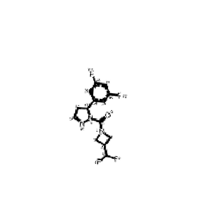 O=C(N1CC(C(F)F)C1)N1N=CCC1c1cc(F)cc(F)c1